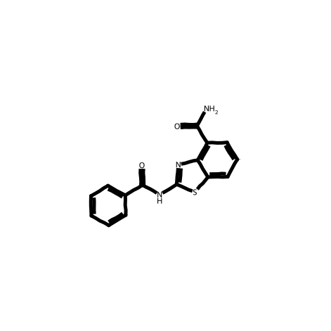 NC(=O)c1c[c]cc2sc(NC(=O)c3ccccc3)nc12